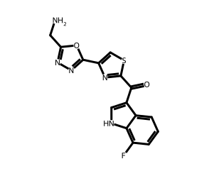 NCc1nnc(-c2csc(C(=O)c3c[nH]c4c(F)cccc34)n2)o1